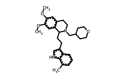 COc1cc2c(cc1OC)C(CCc1c[nH]c3c(C)cccc13)N(CC1CCOCC1)CC2